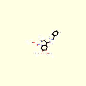 CCOC(=O)N1c2cc(OC)c(OC)cc2C(C(=O)N(Cl)Cc2ccccc2)CC1C